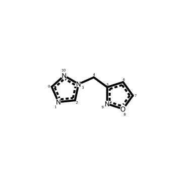 c1ncn(Cc2ccon2)n1